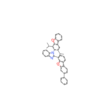 CC(C)c1cc2c(oc3ccccc32)c(C(C)C)c1-n1c(-c2cccc3c2oc2cc(-c4ccccc4)ccc23)nc2ccccc21